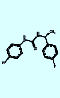 C[C@H](NC(=O)Nc1ccc(Cl)cc1)c1ccc(F)cc1